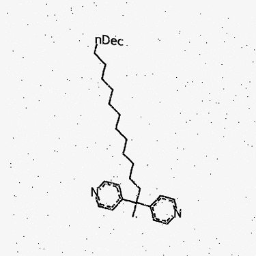 [CH2]C(CCCCCCCCCCCCCCCCCCCCCC)(c1ccncc1)c1ccncc1